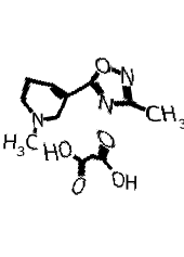 Cc1noc(C2=CCCN(C)C2)n1.O=C(O)C(=O)O